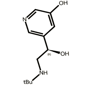 CC(C)(C)NC[C@H](O)c1cncc(O)c1